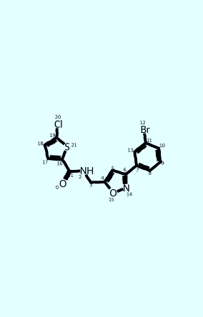 O=C(NCc1cc(-c2cccc(Br)c2)no1)c1ccc(Cl)s1